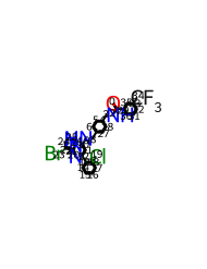 O=C(NCc1ccc(CNc2cc(-c3ccccc3Cl)nc3c(Br)cnn23)cc1)c1cccc(C(F)(F)F)c1